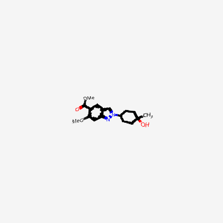 COC(=O)c1cc2cn(C3CCC(C)(O)CC3)nc2cc1OC